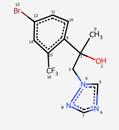 CC(O)(Cn1cncn1)c1ccc(Br)cc1C(F)(F)F